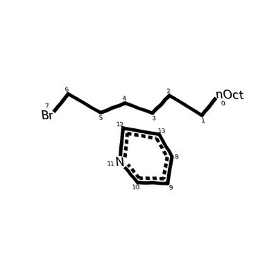 CCCCCCCCCCCCCCBr.c1ccncc1